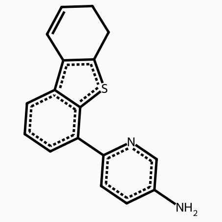 Nc1ccc(-c2cccc3c4c(sc23)CCC=C4)nc1